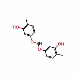 Cc1ccc(OBOc2ccc(C)c(O)c2)cc1O